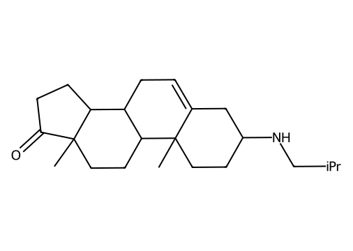 CC(C)CNC1CCC2(C)C(=CCC3C4CCC(=O)C4(C)CCC32)C1